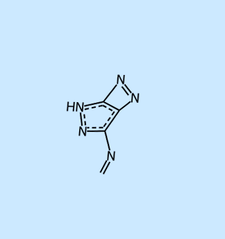 C=Nc1n[nH]c2c1N=N2